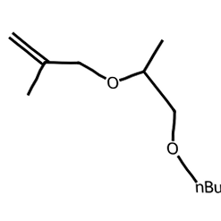 C=C(C)COC(C)COCCCC